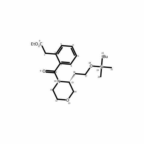 CCOC(=O)Cc1ccccc1C(=O)N1CCOC[C@H]1CCO[Si](C)(C)C(C)(C)C